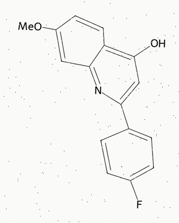 COc1ccc2c(O)cc(-c3ccc(F)cc3)nc2c1